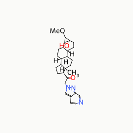 COC1C2C3CC[C@@H]4[C@H](CC[C@]5(C)[C@@H](C(=O)Cn6cc7ccncc7n6)CC[C@@H]45)[C@H]3CC[C@]12O